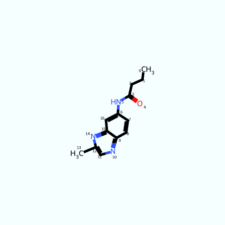 CCCC(=O)Nc1ccc2ncc(C)nc2c1